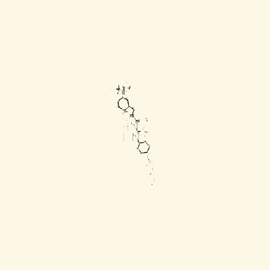 CCCCCOc1ccc(NC(=S)NC(=O)c2cc3cc([N+](=O)[O-])ccc3o2)cc1